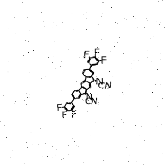 N#C/N=c1/c2cc(-c3cc(F)c(F)c(F)c3)ccc2c2cc3c(cc12)/c(=N/C#N)c1cc(-c2cc(F)c(F)c(F)c2)ccc13